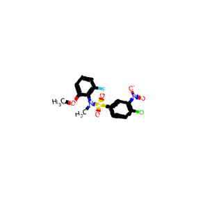 COc1cccc(F)c1N(C)S(=O)(=O)c1ccc(Cl)c([N+](=O)[O-])c1